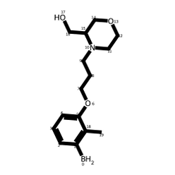 Bc1cccc(OCCCN2CCOCC2CO)c1C